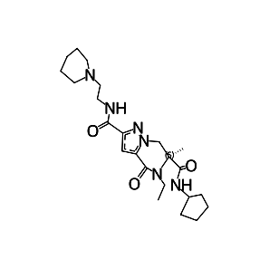 CCN1C(=O)c2cc(C(=O)NCCN3CCCCC3)nn2C[C@@]1(C)C(=O)NC1CCCC1